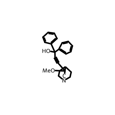 COC1(C#CC(O)(c2ccccc2)c2ccccc2)CN2CCC1CC2